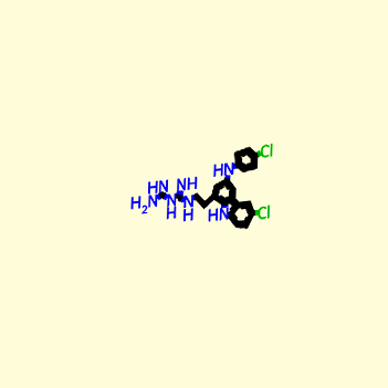 N=C(N)NC(=N)NCCc1cc(Nc2ccc(Cl)cc2)cc2c1[nH]c1ccc(Cl)cc12